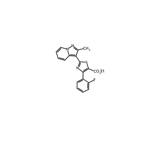 CCOC(=O)c1sc(-c2c(C)nn3ccccc23)nc1-c1ccccc1F